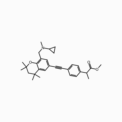 COC(=O)C(C)c1ccc(C#Cc2cc(CN(C)C3CC3)c3c(c2)C(C)(C)CC(C)(C)O3)cc1